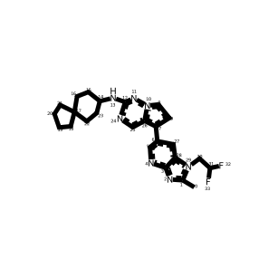 Cc1nc2ncc(-c3ccn4nc(NC5CCC6(CCCC6)CC5)ncc34)cc2n1CC(F)F